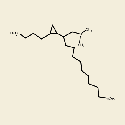 CCCCCCCCCCCCCCCCCCCC(CN(C)C)C1CC1CCCC(=O)OCC